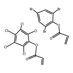 C=CC(=O)Oc1c(Br)cc(Br)cc1Br.C=CC(=O)Oc1c(Cl)c(Cl)c(Cl)c(Cl)c1Cl